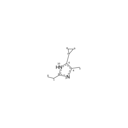 CCc1nc(C)c(C2CC2)[nH]1